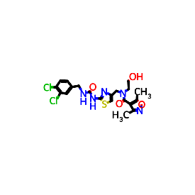 Cc1noc(C)c1C(=O)N(CCO)Cc1csc(NC(=O)NCc2ccc(Cl)c(Cl)c2)n1